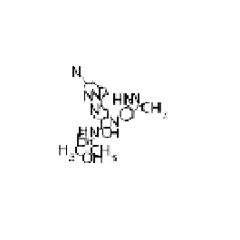 Cc1n[nH]c2cc(Nc3cc(-c4ccc5cc(C#N)cnn45)ncc3C(=O)NC[C@@H](F)C(C)(C)O)ccc12